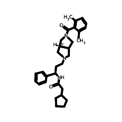 Cc1cccc(C)c1C(=O)N1CC2CN(CCC(NC(=O)CC3CCCC3)c3ccccc3)C[C@H]2C1